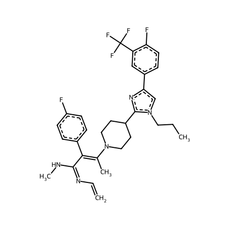 C=C/N=C(NC)\C(=C(/C)N1CCC(c2nc(-c3ccc(F)c(C(F)(F)F)c3)cn2CCC)CC1)c1ccc(F)cc1